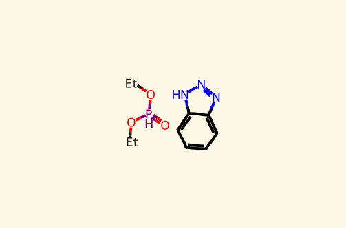 CCO[PH](=O)OCC.c1ccc2[nH]nnc2c1